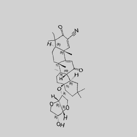 CC1(C)CC[C@]2(O[C@@H]3CO[C@H]4[C@@H]3OC[C@H]4O)CC[C@]3(C)[C@H](C(=O)C=C4[C@@]5(C)C=C(C#N)C(=O)C(C)(C)[C@@H]5CC[C@]43C)[C@H]2C1